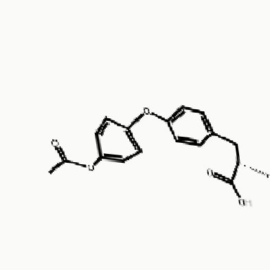 CC(=O)Oc1ccc(Oc2ccc(C[C@H](C)C(=O)O)cc2)cc1